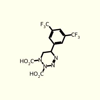 O=C(O)N1CC(c2cc(C(F)(F)F)cc(C(F)(F)F)c2)N=NN1C(=O)O